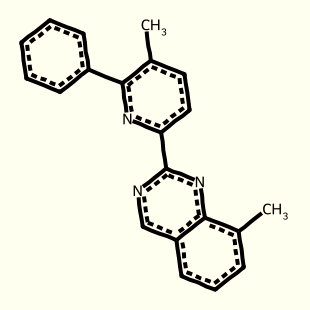 Cc1ccc(-c2ncc3cccc(C)c3n2)nc1-c1ccccc1